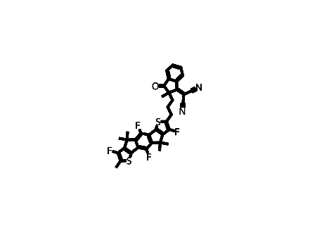 Cc1sc2c(c1F)C(C)(C)c1c(F)c3c(c(F)c1-2)C(C)(C)c1c-3sc(CCCC2(C)C(=O)c3ccccc3C2=C(C#N)C#N)c1F